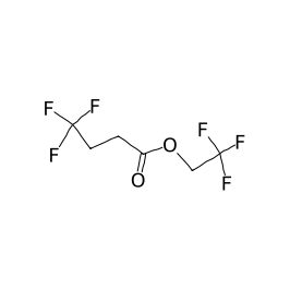 O=C(CCC(F)(F)F)OCC(F)(F)F